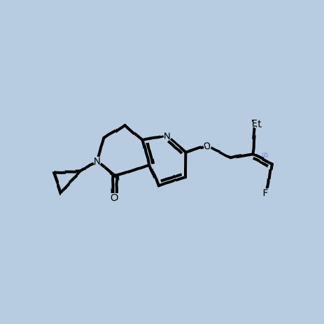 CC/C(=C/F)COc1ccc2c(n1)CCN(C1CC1)C2=O